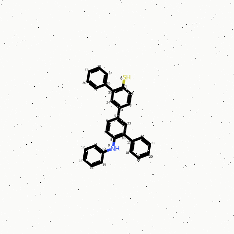 Sc1ccc(-c2ccc(Nc3ccccc3)c(-c3ccccc3)c2)cc1-c1ccccc1